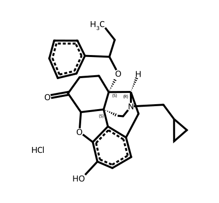 CCC(O[C@@]12CCC(=O)C3Oc4c(O)ccc5c4[C@@]31CCN(CC1CC1)[C@@H]2C5)c1ccccc1.Cl